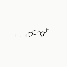 CC1(C)Cc2cccc(CN3CCC4(CC3)CCN(C(=O)O)CC4)c2O1